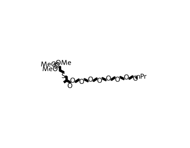 CCCOCCOCCOCCOCCOCCOCCOCCOC(=O)C(C)CSCCC[Si](OC)(OC)OC